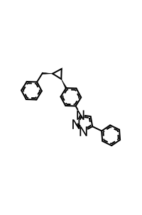 c1ccc(C[C@H]2C[C@H]2c2ccc(-n3cc(-c4ccccc4)nn3)cc2)cc1